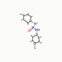 Cc1ccc([N]C(=O)Nc2ccc(C)cc2)cc1